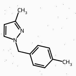 Cc1ccc(Cn2ccc(C)n2)cc1